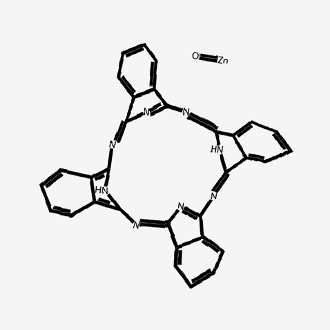 [O]=[Zn].c1ccc2c(c1)-c1nc-2nc2[nH]c(nc3nc(nc4[nH]c(n1)c1ccccc41)-c1ccccc1-3)c1ccccc21